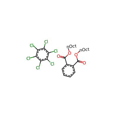 CCCCCCCCOC(=O)c1ccccc1C(=O)OCCCCCCCC.Clc1c(Cl)c(Cl)c(Cl)c(Cl)c1Cl